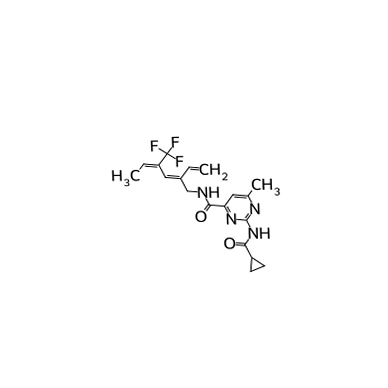 C=C/C(=C\C(=C/C)C(F)(F)F)CNC(=O)c1cc(C)nc(NC(=O)C2CC2)n1